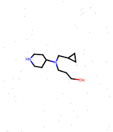 OCCCN(CC1CC1)C1CCNCC1